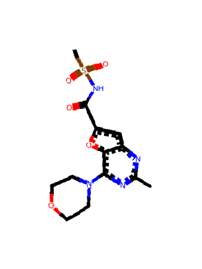 Cc1nc(N2CCOCC2)c2oc(C(=O)NS(C)(=O)=O)cc2n1